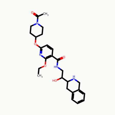 CCOc1nc(OC2CCN(C(C)=O)CC2)ccc1C(=O)NCC(O)C1Cc2ccccc2CN1